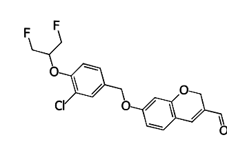 O=CC1=Cc2ccc(OCc3ccc(OC(CF)CF)c(Cl)c3)cc2OC1